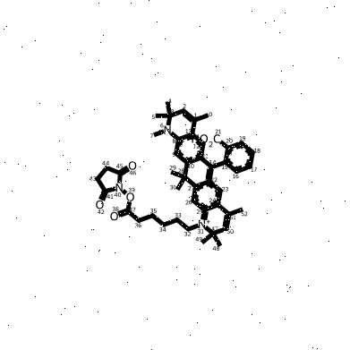 CC1=CC(C)(C)N(C)c2cc3c(cc21)C(c1ccccc1C(=O)O)=c1cc2c(cc1C3(C)C)=[N+](CCCCCC(=O)ON1C(=O)CCC1=O)C(C)(C)C=C2C